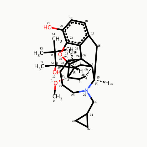 CO[C@@]12CC[C@@]3(C[C@@H]1[C@](C)(O)C(C)(C)C)[C@H]1Cc4ccc(O)c5c4[C@@]3(CCCCN1CC1CC1)[C@H]2O5